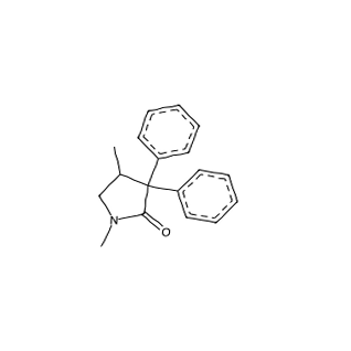 CC1CN(C)C(=O)C1(c1ccccc1)c1ccccc1